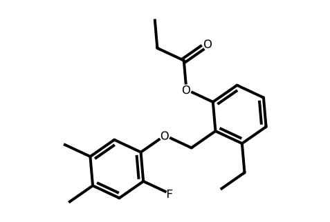 CCC(=O)Oc1cccc(CC)c1COc1cc(C)c(C)cc1F